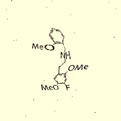 COc1cc(CCNCc2ccccc2OC)c(OC)cc1F